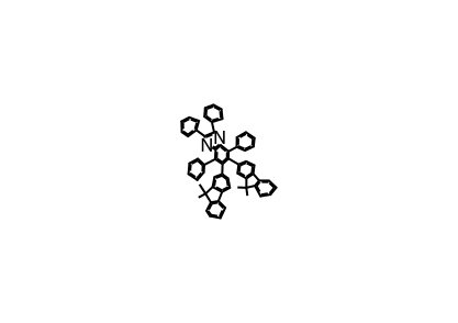 CC1(C)c2ccccc2-c2ccc(-c3c(-c4ccc5c(c4)C(C)(C)c4ccccc4-5)c(-c4ccccc4)c4nc(-c5ccccc5)c(-c5ccccc5)nc4c3-c3ccccc3)cc21